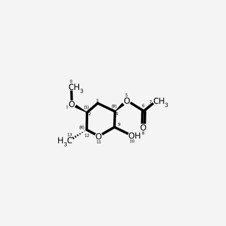 CO[C@H]1C[C@@H](OC(C)=O)C(O)O[C@@H]1C